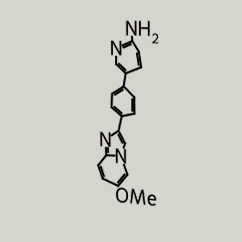 COc1ccc2nc(-c3ccc(-c4ccc(N)nc4)cc3)cn2c1